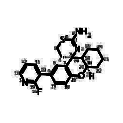 NC1=N[C@]2(CCS1)c1cc(-c3cccnc3F)ccc1O[C@@H]1CCCCC12